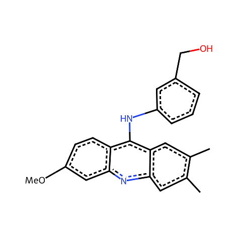 COc1ccc2c(Nc3cccc(CO)c3)c3cc(C)c(C)cc3nc2c1